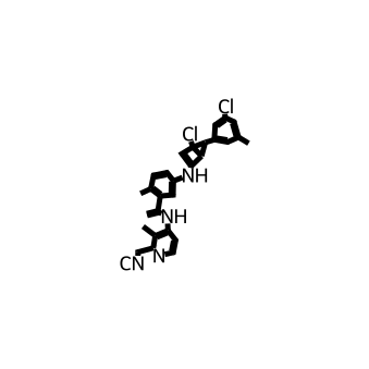 C=C(Nc1ccnc(CC#N)c1C)c1cc(NC2=CC3(Cl)C2C3c2cc(C)cc(Cl)c2)ccc1C